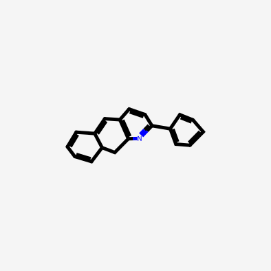 C1=CC2=Cc3ccc(-c4ccccc4)nc3CC2C=C1